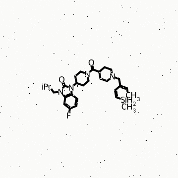 C/C=C(\C=C/[SiH2]C)CN1CCC(C(=O)N2CCC(n3c(=O)n(CC(C)C)c4cc(F)ccc43)CC2)CC1